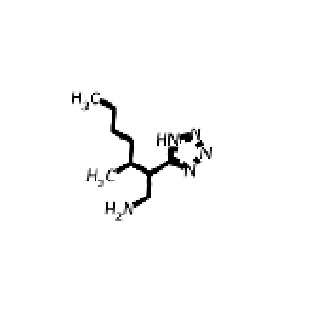 CCCCC(C)C(CN)c1nnn[nH]1